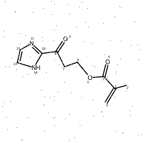 C=C(C)C(=O)OCCC(=O)c1ncc[nH]1